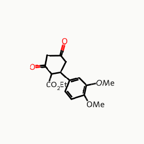 CCOC(=O)C1C(=O)CC(=O)CC1c1ccc(OC)c(OC)c1